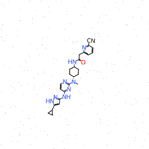 CN(c1nccc(Nc2cc(C3CC3)[nH]n2)n1)[C@H]1CC[C@H](NC(=O)Cc2cccc(C#N)n2)CC1